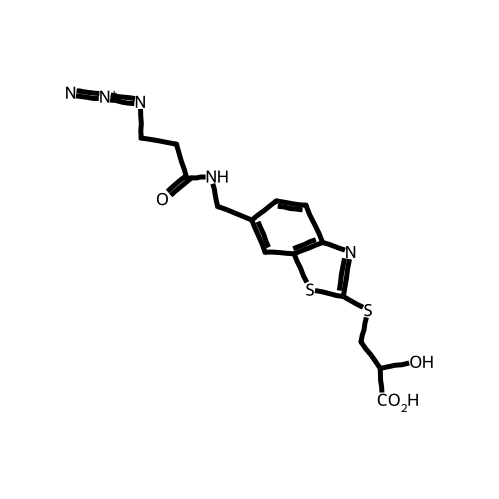 [N-]=[N+]=NCCC(=O)NCc1ccc2nc(SCC(O)C(=O)O)sc2c1